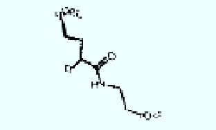 CCCCCCCCCCCCNC(=O)C(Cl)CCCCCCCCCCCC